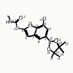 CNC(=O)Oc1cc2cc(B3OC(C)(C)C(C)(C)O3)cc(Cl)c2o1